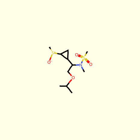 CC(C)OCC(C1CC1[S@+](C)[O-])N(C)S(C)(=O)=O